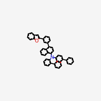 c1ccc(-c2ccc(N(c3ccccc3-c3ccccc3)c3ccc(-c4cccc(-c5cc6ccccc6o5)c4)c4ccccc34)cc2)cc1